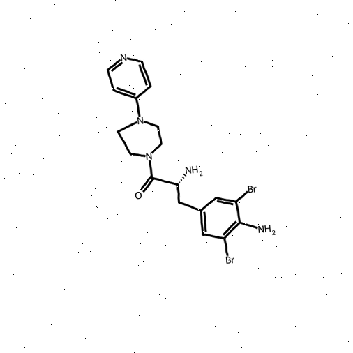 Nc1c(Br)cc(C[C@@H](N)C(=O)N2CCN(c3ccncc3)CC2)cc1Br